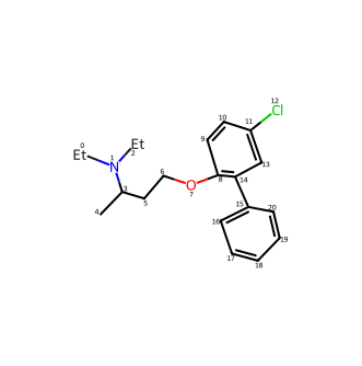 CCN(CC)C(C)CCOc1ccc(Cl)cc1-c1ccccc1